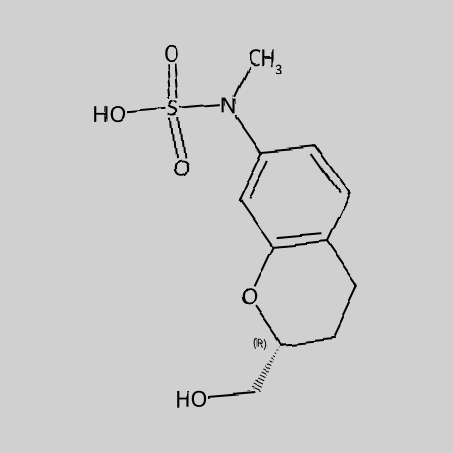 CN(c1ccc2c(c1)O[C@@H](CO)CC2)S(=O)(=O)O